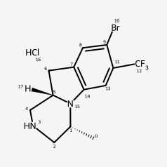 C[C@@H]1CNC[C@@H]2Cc3cc(Br)c(C(F)(F)F)cc3N21.Cl